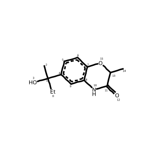 CCC(C)(O)c1ccc2c(c1)NC(=O)C(C)O2